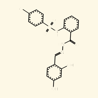 O=C(N/N=C/c1ccc(O)cc1O)c1ccccc1NS(=O)(=O)c1ccc(Cl)cc1